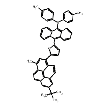 Cc1ccc(N(c2ccc(C)cc2)c2c3ccccc3c(-c3ccc(-c4cc(C)c5ccc6cc(C(C)(C)C)cc7ccc4c5c67)s3)c3ccccc23)cc1